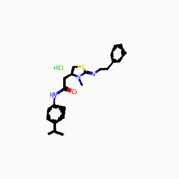 CC(C)c1ccc(NC(=O)CC2CS/C(=N\CCc3ccccc3)N2C)cc1.Cl